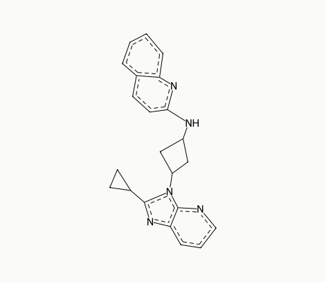 c1ccc2nc(NC3CC(n4c(C5CC5)nc5cccnc54)C3)ccc2c1